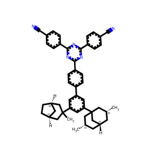 C[C@@H]1C[C@@H]2C[C@H](C)CC(c3cc(-c4ccc(-c5nc(-c6ccc(C#N)cc6)nc(-c6ccc(C#N)cc6)n5)cc4)cc(C4(C)C[C@@H]5CC[C@@H](C5)C4)c3)(C1)C2